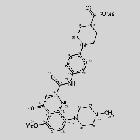 COC(=O)N1CCN(c2ccc(NC(=O)c3cc(=O)c4c(OC)ccc(N5CCN(C)CC5)c4[nH]3)cc2)CC1